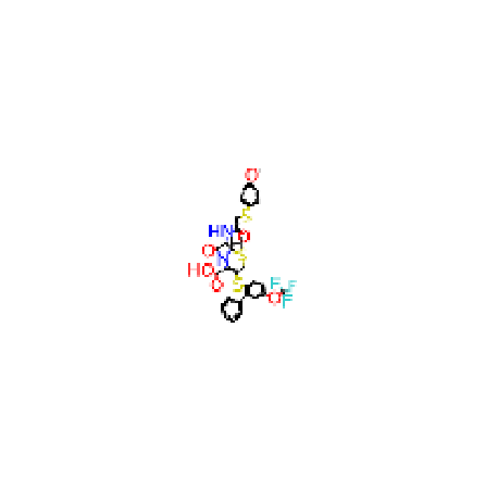 COc1ccc(SCC(=O)N[C@@H]2C(=O)N3C(C(=O)O)=C(Sc4ccc(OC(F)(F)F)cc4-c4ccccc4)CS[C@H]23)cc1